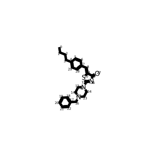 CCCCc1ccc(/C=C2\SC(N3CCN(Cc4ccccc4)CC3)=NC2=O)cc1